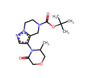 CC1COCC(=O)N1c1cnn2c1CN(C(=O)OC(C)(C)C)CC2